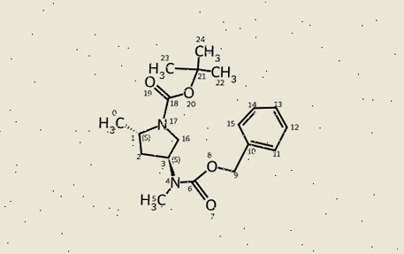 C[C@H]1C[C@H](N(C)C(=O)OCc2ccccc2)CN1C(=O)OC(C)(C)C